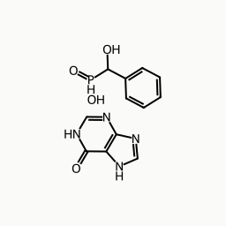 O=[PH](O)C(O)c1ccccc1.O=c1[nH]cnc2nc[nH]c12